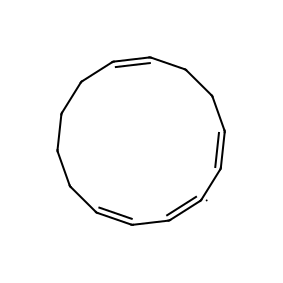 [C]1=CC=CCCCCC=CCCC=C1